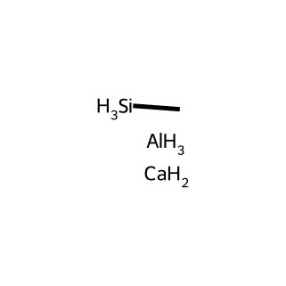 C[SiH3].[AlH3].[CaH2]